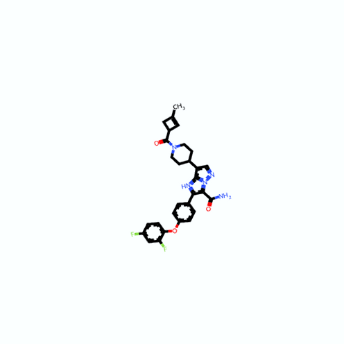 CC1=CC(C(=O)N2CCC(c3cnn4c(C(N)=O)c(-c5ccc(Oc6ccc(F)cc6F)cc5)[nH]c34)CC2)C1